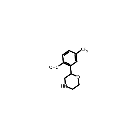 O=Cc1ccc(C(F)(F)F)cc1C1CNCCO1